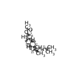 CC(=O)O[C@H]1CC[C@@]2(C)C(=CC=C3[C@@H]4CC[C@H]([C@H](C)CCC=C(C)C)[C@@]4(C)CC[C@@H]32)C1